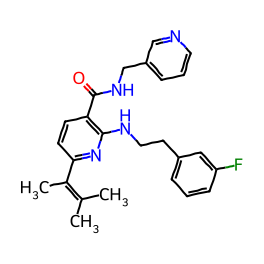 CC(C)=C(C)c1ccc(C(=O)NCc2cccnc2)c(NCCc2cccc(F)c2)n1